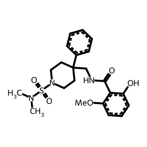 COc1cccc(O)c1C(=O)NCC1(c2ccccc2)CCN(S(=O)(=O)N(C)C)CC1